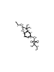 CCOC1Oc2ccc(OS(=O)(=O)N(C)CC)cc2C1(C)C